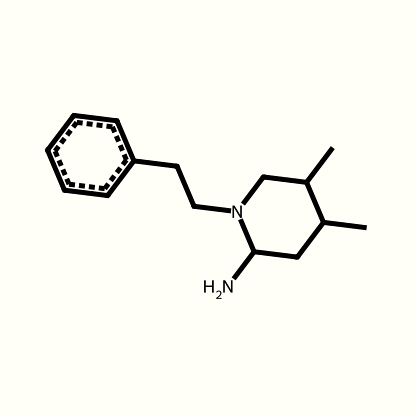 CC1CC(N)N(CCc2ccccc2)CC1C